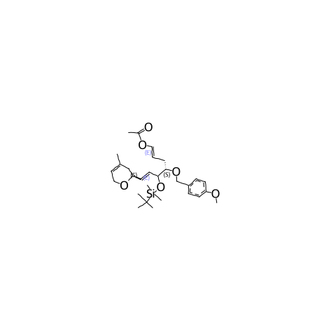 COc1ccc(CO[C@@H](C/C=C/OC(C)=O)C(/C=C/[C@@H]2CC(C)=CCO2)O[Si](C)(C)C(C)(C)C)cc1